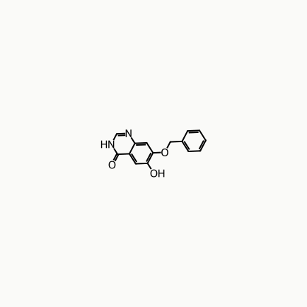 O=c1[nH]cnc2cc(OCc3ccccc3)c(O)cc12